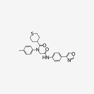 Cc1ccc(N(CC(=O)Nc2ccc(-c3cocn3)cc2)C(=O)C2CCSCC2)cc1